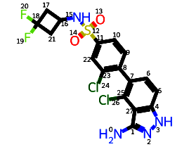 Nc1n[nH]c2ccc(-c3ccc(S(=O)(=O)NC4CC(F)(F)C4)cc3Cl)c(Cl)c12